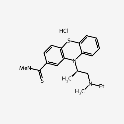 CCN(C)C[C@@H](C)N1c2ccccc2Sc2ccc(C(=S)NC)cc21.Cl